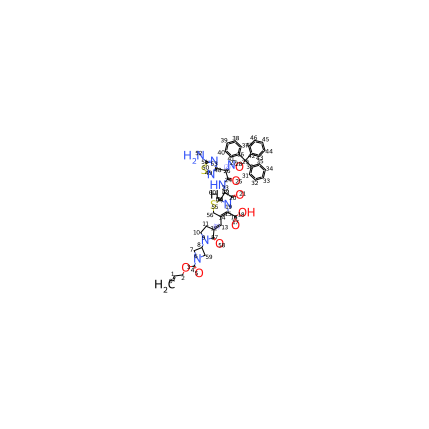 C=CCOC(=O)N1CC(N2CC/C(=C\C3=C(C(=O)O)N4C(=O)[C@@H](NC(=O)/C(=N\OC(c5ccccc5)(c5ccccc5)c5ccccc5)c5nsc(N)n5)[C@H]4SC3)C2=O)C1